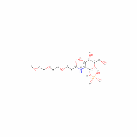 COCCOCCOCCC(=O)N[C@H]1C(O)[C@@H](O)C(CO)O[C@@H]1OP(=O)(O)O